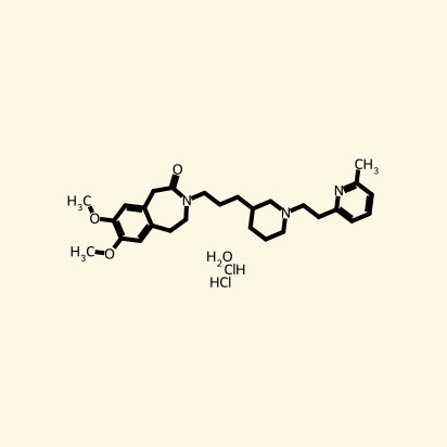 COc1cc2c(cc1OC)CC(=O)N(CCCC1CCCN(CCc3cccc(C)n3)C1)CC2.Cl.Cl.O